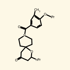 CCCC1CC(=O)CC2(CCN(C(=O)c3ccc(OC(C)C)c(C)c3)CC2)O1